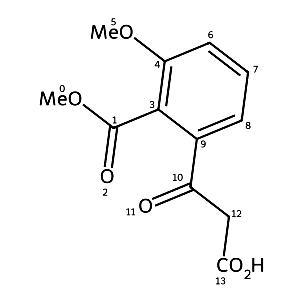 COC(=O)c1c(OC)cccc1C(=O)CC(=O)O